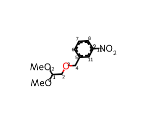 COC(COCc1cccc([N+](=O)[O-])c1)OC